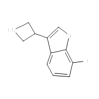 Clc1cccc2c(C3CNC3)c[nH]c12